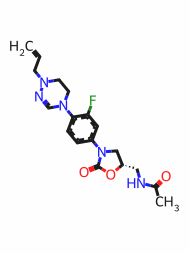 C=CCN1CCN(c2ccc(N3C[C@H](CNC(C)=O)OC3=O)cc2F)C=N1